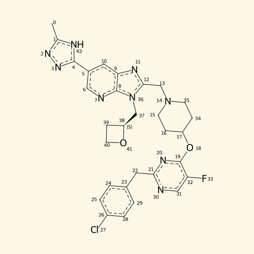 Cc1nnc(-c2cnc3c(c2)nc(CN2CCC(Oc4nc(Cc5ccc(Cl)cc5)ncc4F)CC2)n3C[C@@H]2CCO2)[nH]1